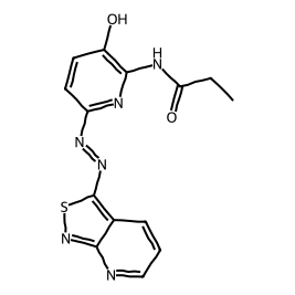 CCC(=O)Nc1nc(/N=N/c2snc3ncccc23)ccc1O